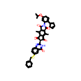 Cc1c2c(c(C)c3c1C(=O)N(c1cc(OC(C)C)ccc1C1=CC=CC1)C3=O)C(=O)C(c1nc3ccc(SCc4ccccc4)cc3c(=O)[nH]1)C2=O